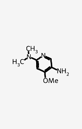 COc1cc(N(C)C)ncc1N